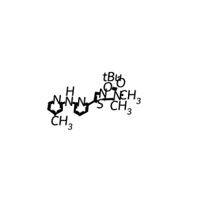 Cc1ccnc(Nc2cccc(-c3cnc([C@H](C)N(C)C(=O)OC(C)(C)C)s3)n2)c1